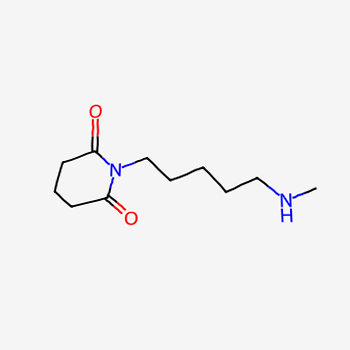 CNCCCCCN1C(=O)CCCC1=O